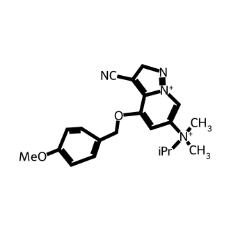 COc1ccc(COc2cc([N+](C)(C)C(C)C)c[n+]3c2=C(C#N)CN=3)cc1